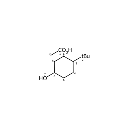 CC(=O)O.CC(C)(C)C1CCC(O)CC1